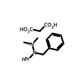 CCCN(Cc1ccccc1)N(C)C.O=C(O)CC(=O)O